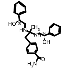 CC(Cc1ccc(C(N)=O)cc1)(NC[C@@H](O)c1ccccc1)NC[C@@H](O)c1ccccc1